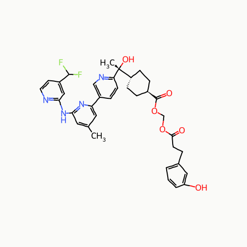 Cc1cc(Nc2cc(C(F)F)ccn2)nc(-c2ccc([C@](C)(O)[C@H]3CC[C@H](C(=O)OCOC(=O)CCc4cccc(O)c4)CC3)nc2)c1